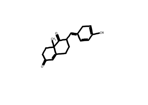 CC12CCC(=O)C=C1CCC(C=C1C=CC(C#N)=CC1)C2=O